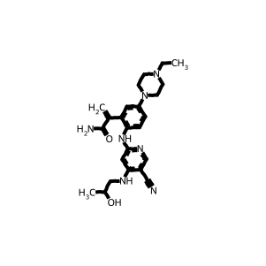 C=C(C(N)=O)c1cc(N2CCN(CC)CC2)ccc1Nc1cc(NCC(C)O)c(C#N)cn1